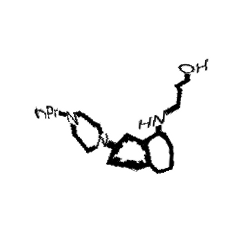 CCCN1CCN(c2ccc3c(c2)C(NCCCO)CCC3)CC1